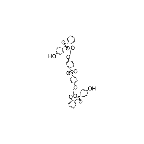 O=S(=O)(c1ccc(OCCOc2ccccc2S(=O)(=O)c2ccc(O)cc2)cc1)c1ccc(OCCOc2ccccc2S(=O)(=O)c2ccc(O)cc2)cc1